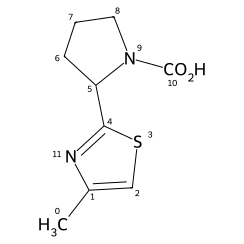 Cc1csc(C2CCCN2C(=O)O)n1